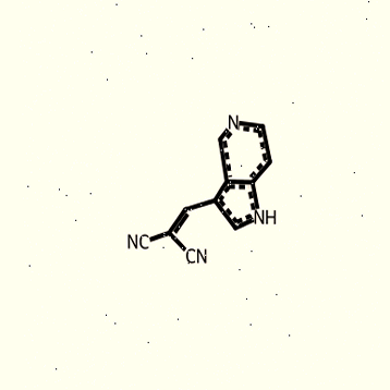 N#CC(C#N)=Cc1c[nH]c2ccncc12